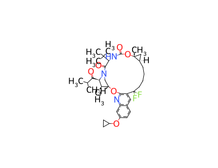 CC(C)C(=O)[C@@H]1[C@H](C)[C@@H]2CN1C(=O)C(C(C)(C)C)NC(=O)O[C@]1(C)C[C@H]1CCCCC(F)(F)c1cc3ccc(OC4CC4)cc3nc1O2